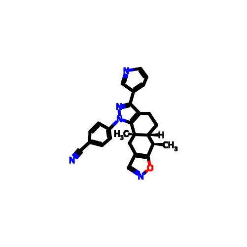 C[C@H]1c2oncc2C[C@@]2(C)c3c(c(-c4cccnc4)nn3-c3ccc(C#N)cc3)CC[C@H]12